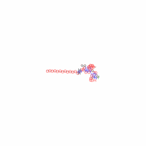 C=CCOC(=O)[C@H]1O[C@@H](Oc2ccc(COC(=O)N[C@H]3CCc4c(C)c(F)cc5nc6c(c3c45)Cn3c-6cc4c(c3=O)COC(=O)[C@]4(O)CC)cc2CNC(=O)CCNC(=O)[C@H](CCCC(=O)N2C[C@@H]3C[C@H]2CN3C(=O)CCOCCOCCOCCOCCOCCOCCOCCOCCOCCOCCOCCOC)NC(=O)OCC2c3ccccc3-c3ccccc32)[C@H](OC(C)=O)[C@@H](OC(C)=O)[C@@H]1OC(C)=O